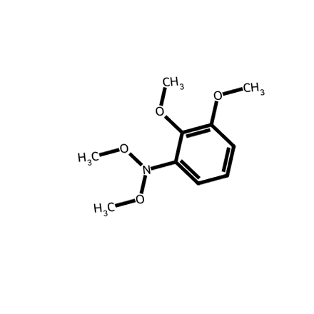 COc1cccc(N(OC)OC)c1OC